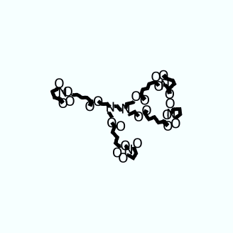 O=C(CCCC(=O)ON1C(=O)CCC1=O)OCCN(CCOC(=O)CCCC(=O)ON1C(=O)CCC1=O)CCN(CCOC(=O)CCCC(=O)ON1C(=O)CCC1=O)CCOC(=O)CCCC(=O)ON1C(=O)CCC1=O